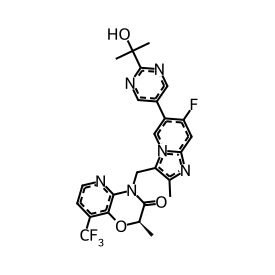 Cc1nc2cc(F)c(-c3cnc(C(C)(C)O)nc3)cn2c1CN1C(=O)[C@@H](C)Oc2c(C(F)(F)F)ccnc21